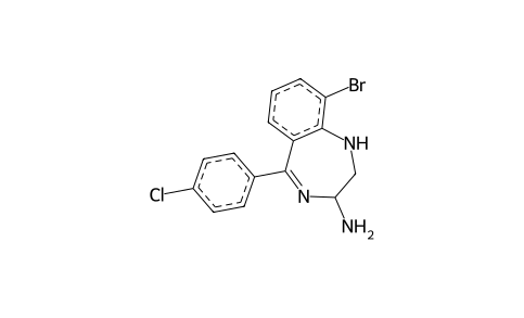 NC1CNc2c(Br)cccc2C(c2ccc(Cl)cc2)=N1